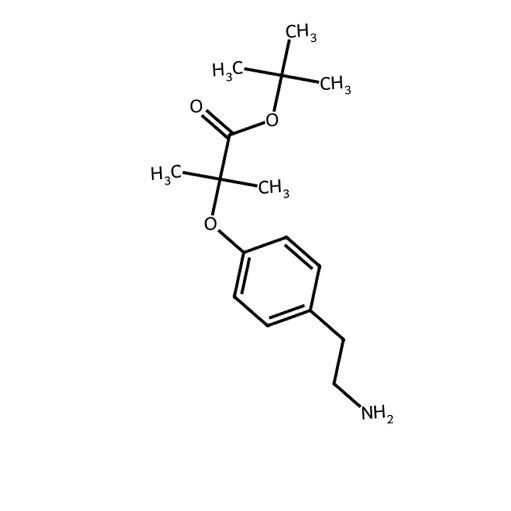 CC(C)(C)OC(=O)C(C)(C)Oc1ccc(CCN)cc1